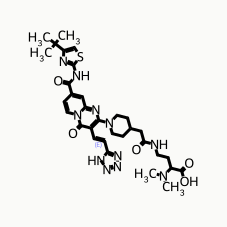 CN(C)C(CCNC(=O)CC1CCN(c2nc3cc(C(=O)Nc4nc(C(C)(C)C)cs4)ccn3c(=O)c2/C=C/c2nnn[nH]2)CC1)C(=O)O